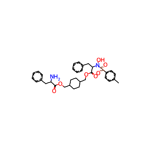 Cc1ccc(S(=O)(=O)N(O)C(Cc2ccccc2)C(=O)OCC2CCC(COC(=O)C(N)Cc3ccccc3)CC2)cc1